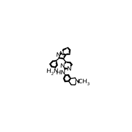 CN1CCc2ccc(Nc3nccc(-c4c(-c5cccc(N)c5)nn5ccccc45)n3)cc2C1